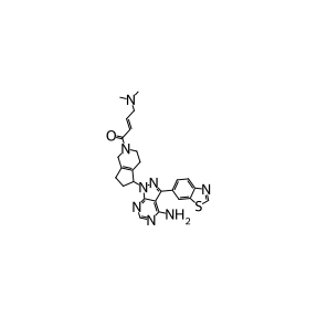 CN(C)CC=CC(=O)N1CCC2=C(CCC2n2nc(-c3ccc4ncsc4c3)c3c(N)ncnc32)C1